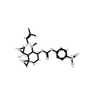 COC1C(OC(=O)Oc2ccc([N+](=O)[O-])cc2)CC[C@]2(CO2)C1[C@@]1(C)O[C@@H]1CC=C(C)C